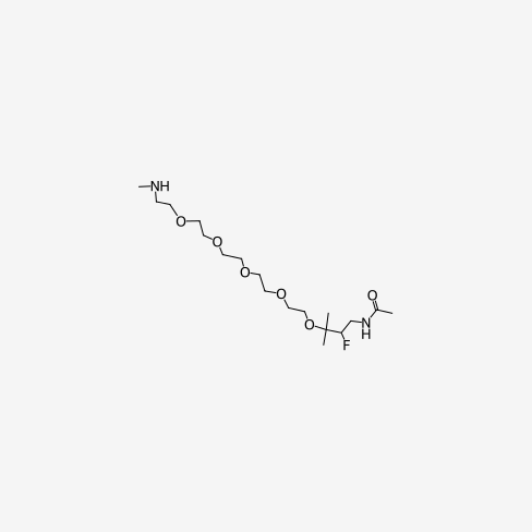 CNCCOCCOCCOCCOCCOC(C)(C)C(F)CNC(C)=O